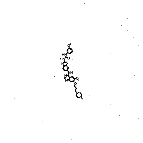 COc1cccc(NC(=O)Nc2nc3ccc(Nc4ncnc5cc(OCCCN6CCN(C)CC6)c(OC)cc45)cc3s2)c1